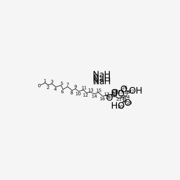 CCCCCCCCCCCCCCCCCCOC(=O)CC(O)(CC(=O)O)C(=O)O.[NaH].[NaH].[NaH]